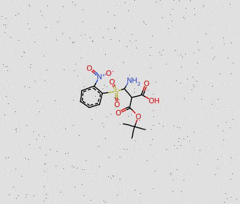 CC(C)(C)OC(=O)C(C(=O)O)C(N)S(=O)(=O)c1ccccc1[N+](=O)[O-]